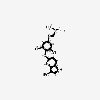 CC(C)c1c[nH]c2ccc(Oc3c(Cl)cc(N=CN(C)C)cc3Cl)nc12